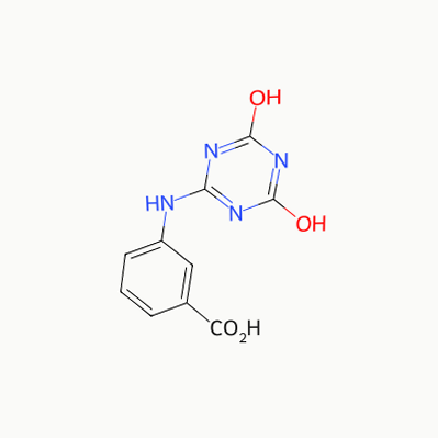 O=C(O)c1cccc(Nc2nc(O)nc(O)n2)c1